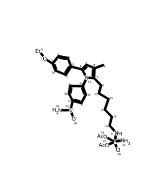 CCOc1ccc(-c2cc(C)c(CCCCCCNP(N)(Cl)(OC(C)=O)OC(C)=O)n2-c2ccc([S+](N)[O-])cc2)cc1